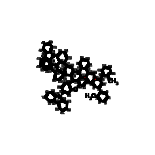 Cc1ccccc1-c1cc(-c2cc3c4c(c2)N(c2ccccc2-c2ccccc2)c2cc(-c5cccc(-n6c7ccccc7c7ccccc76)c5-n5c6ccccc6c6ccccc65)ccc2B4c2ccc(-n4c5ccccc5c5ccccc54)cc2O3)cc(-c2ccccc2C)c1